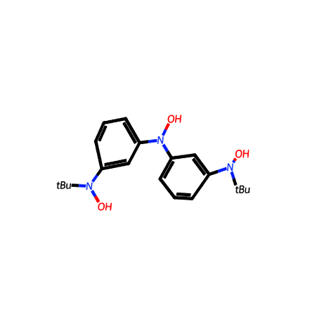 CC(C)(C)N(O)c1cccc(N(O)c2cccc(N(O)C(C)(C)C)c2)c1